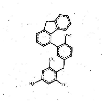 COc1ccc(Cc2c(C)cc(N)cc2C)cc1-c1cccc2c1-c1ccccc1C2